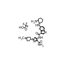 CN1CCC(n2cc(NC(=O)c3cnn4ccc(N[C@H]5CCCC[C@H]5N)nc34)c(C(N)=O)n2)CC1.O=C(O)C(F)(F)F